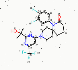 CC(C)(O)c1nc(N2CCC3(CCCC(=O)N3c3ccc(F)c(F)c3)CC2)cc(C(F)(F)F)n1